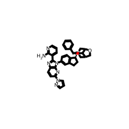 Nc1ncccc1-c1nc2ccc(-n3cccn3)nc2n1-c1ccc2c(c1)CC[C@@H]2NC1C2COC1CN(Cc1ccccc1)C2